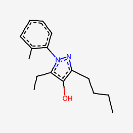 CCCCc1nn(-c2ccccc2C)c(CC)c1O